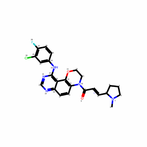 CN1CCCC1/C=C/C(=O)N1CCOc2c1ccc1ncnc(Nc3ccc(F)c(Cl)c3)c21